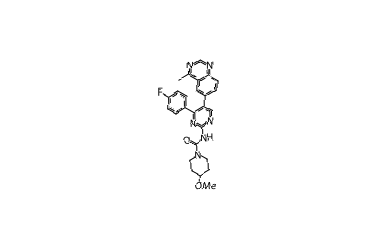 COC1CCN(C(=O)Nc2ncc(-c3ccc4ncnc(C)c4c3)c(-c3ccc(F)cc3)n2)CC1